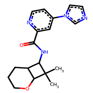 CC1(C)C(NC(=O)c2cc(-n3ccnc3)ccn2)C2CCCOC21